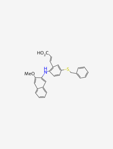 COc1cc2ccccc2cc1Nc1ccc(SCc2ccccc2)cc1/C=C/C(=O)O